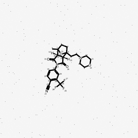 CC12CCC(CCN3CCOCC3)(O1)[C@@H]1C(=O)N(c3ccc(C#N)c(C(F)(F)F)c3)C(=O)[C@@H]12